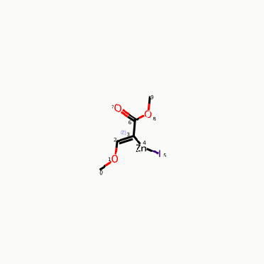 CO/C=[C](\[Zn][I])C(=O)OC